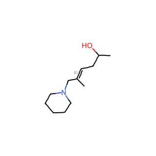 C/C(=C\CC(C)O)CN1CCCCC1